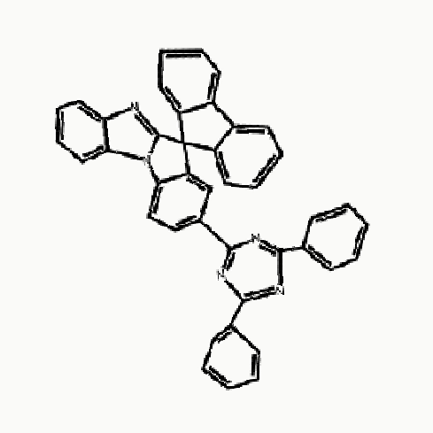 c1ccc(-c2nc(-c3ccccc3)nc(-c3ccc4c(c3)C3(c5ccccc5-c5ccccc53)c3nc5ccccc5n3-4)n2)cc1